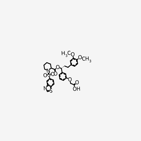 COc1ccc(CC[C@@H](OC(=O)C2CCCCN2S(=O)(=O)c2ccc3scnc3c2)c2cccc(OCC(=O)O)c2)cc1OC